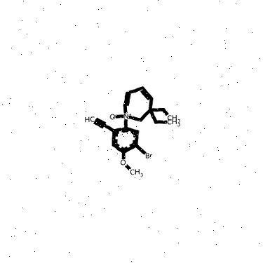 C#Cc1cc(OC)c(Br)cc1[N+]1([O-])C=CC=CC(CC)(CC)C1